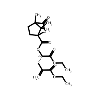 C=C(C[C@H](OC(=O)C12CCC(C)(C(=O)O1)C2(C)C)C(=O)OCC)C(=O)OCC